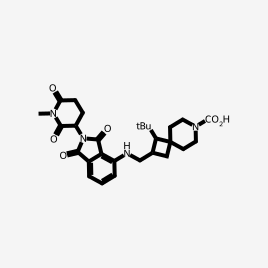 CN1C(=O)CCC(N2C(=O)c3cccc(NCC4CC5(CCN(C(=O)O)CC5)C4C(C)(C)C)c3C2=O)C1=O